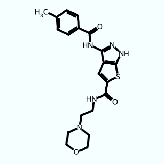 Cc1ccc(C(=O)Nc2n[nH]c3sc(C(=O)NCCN4CCOCC4)cc23)cc1